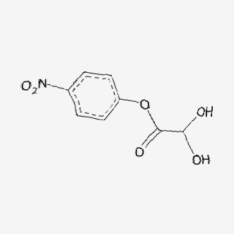 O=C(Oc1ccc([N+](=O)[O-])cc1)C(O)O